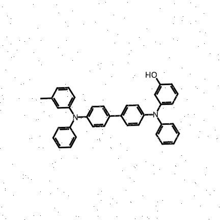 Cc1cccc(N(c2ccccc2)c2ccc(-c3ccc(N(c4ccccc4)c4cccc(O)c4)cc3)cc2)c1